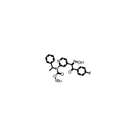 CC(c1ccccc1)N(C(=O)OC(C)(C)C)c1cc(C(=NO)C(=O)c2ccc(F)cc2)ccn1